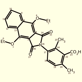 CCOc1c2c(c(OCC)c3ccccc13)C(=O)N(c1ccc(C)c(C(=O)O)c1C)C2=O